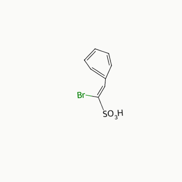 O=S(=O)(O)C(Br)=Cc1ccccc1